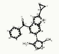 Cc1noc(C)c1-c1cc(C(=O)c2ccccc2)c2nc(C3CC3)[nH]c2c1